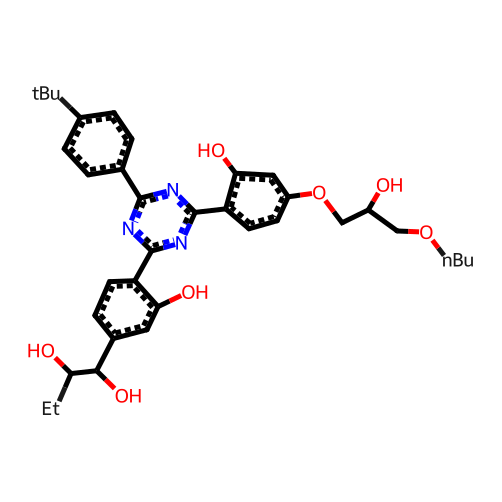 CCCCOCC(O)COc1ccc(-c2nc(-c3ccc(C(C)(C)C)cc3)nc(-c3ccc(C(O)C(O)CC)cc3O)n2)c(O)c1